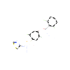 N[C@H](Oc1cc(F)c(S(=O)(=O)Nc2cscn2)cc1Cl)c1c(F)cccc1F